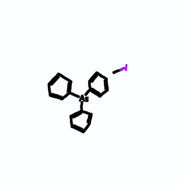 CI.c1ccc([As](c2ccccc2)c2ccccc2)cc1